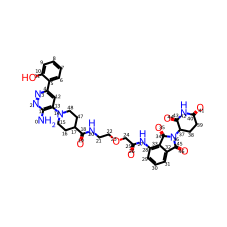 Nc1nnc(-c2ccccc2O)cc1N1CCC(C(=O)NCCOCC(=O)Nc2cccc3c2C(=O)N(C2CCC(=O)NC2=O)C3=O)CC1